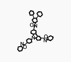 c1ccc(-c2cc3nc(-c4ccc5c(c4)c4cc(-c6nc7ccccc7o6)ccc4n5-c4ccc(-c5nc6ccccc6o5)cc4)oc3cc2-c2ccccc2)cc1